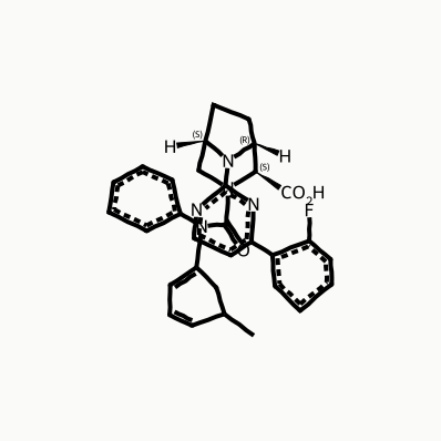 CC1C=CC=C(N(C(=O)N2C[C@@H]3CC[C@H]([C@H]2C(=O)O)N3c2nccc(-c3ccccc3F)n2)c2ccccc2)C1